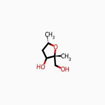 C[C@H]1CC(O)[C@@](C)(CO)O1